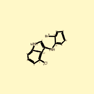 Clc1cccc2[nH]cc(Nc3ccccc3Br)c12